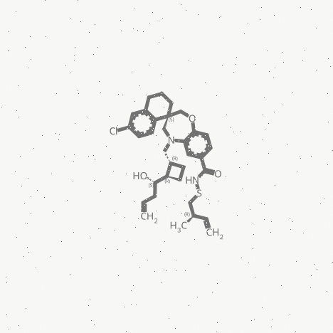 C=CC[C@H](O)[C@@H]1CC[C@H]1CN1C[C@@]2(CCCc3cc(Cl)ccc32)COc2ccc(C(=O)NSC[C@H](C)C=C)cc21